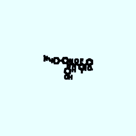 COc1ccccc1-c1nc(C)cc(C(=O)Nc2nc3ccc(C4CCN(CCN(C)C)CC4)cc3n2[C@H]2CC[C@@H](O)CC2)c1F